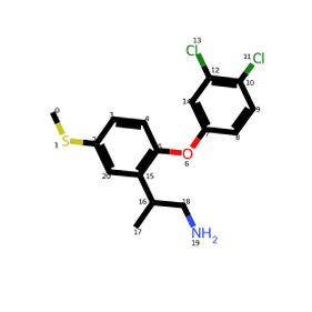 CSc1ccc(Oc2ccc(Cl)c(Cl)c2)c(C(C)CN)c1